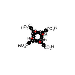 O=C(O)c1ccc(-c2ccc(C3c4cc(c(O)cc4O)C(c4ccc(-c5ccc(C(=O)O)cc5)cc4)c4cc(c(O)cc4O)C(c4ccc(-c5ccc(C(=O)O)cc5)cc4)c4cc(c(O)cc4O)C(c4ccc(-c5ccc(C(=O)O)cc5)cc4)c4cc3c(O)cc4O)cc2)cc1